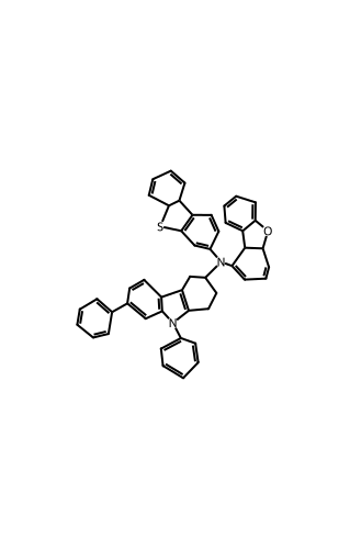 C1=CC2Oc3ccccc3C2C(N(c2ccc3c(c2)SC2C=CC=CC32)C2CCc3c(c4ccc(-c5ccccc5)cc4n3-c3ccccc3)C2)=C1